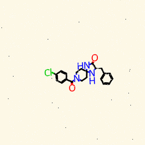 O=C1NC2(CCN(C(=O)c3ccc(Cl)cc3)CC2)N[C@@H]1Cc1ccccc1